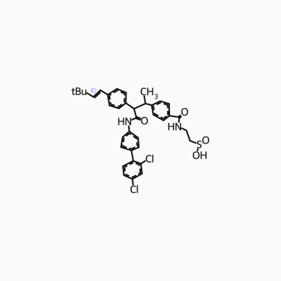 CC(c1ccc(C(=O)NCCS(=O)O)cc1)C(C(=O)Nc1ccc(-c2ccc(Cl)cc2Cl)cc1)c1ccc(/C=C/C(C)(C)C)cc1